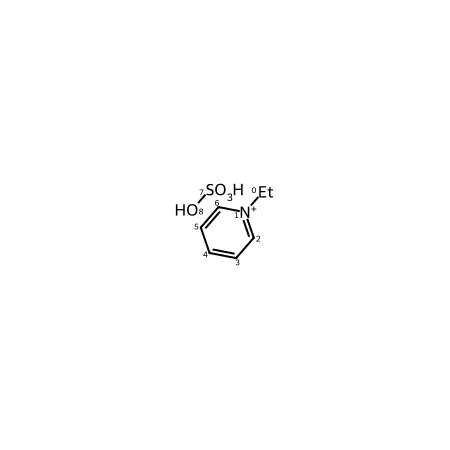 CC[n+]1ccccc1.O=S(=O)(O)O